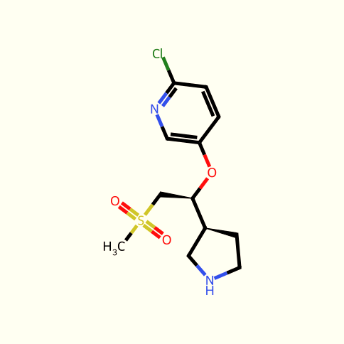 CS(=O)(=O)C[C@@H](Oc1ccc(Cl)nc1)[C@H]1CCNC1